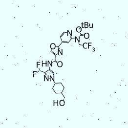 CC(C)(C)OC(=O)N(CC(F)(F)F)c1cc(-c2nc(C(=O)Nc3cn(C4CCC(CO)CC4)nc3C(F)F)co2)ccn1